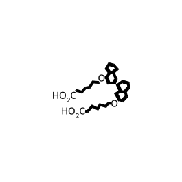 O=C(O)CCCCCCOc1ccc2ccccc2c1.O=C(O)CCCCCCOc1cccc2ccccc12